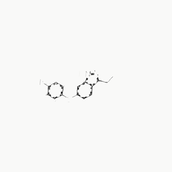 CCc1n[nH]c2cc(Sc3ccc(F)cc3)ccc12